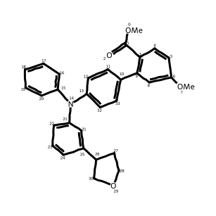 COC(=O)c1ccc(OC)cc1-c1ccc(N(c2ccccc2)c2cccc(C3CCOC3)c2)cc1